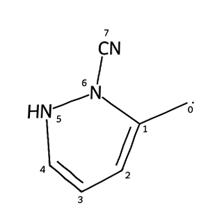 [CH2]C1=CC=CNN1C#N